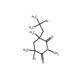 CCC1(C)CC(C)(CC(C)(C)C(C)=O)C(=O)N(C)C1=O